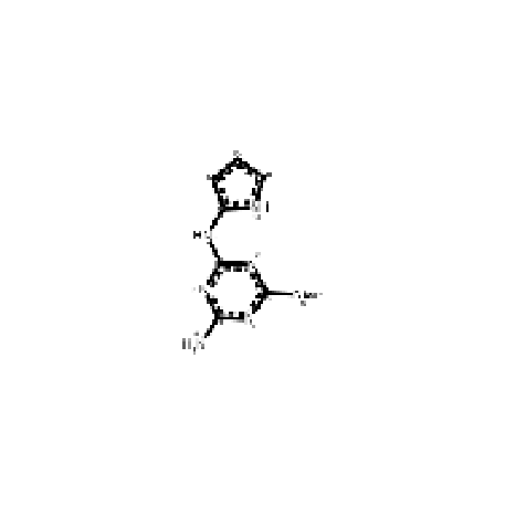 CNc1nc(N)nc(Nc2ccc[nH]2)n1